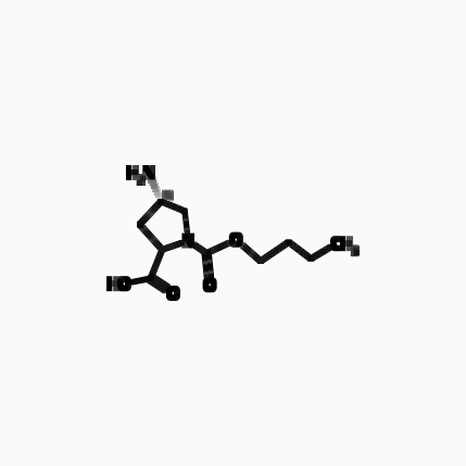 CCCCOC(=O)N1C[C@@H](N)CC1C(=O)O